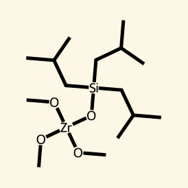 C[O][Zr]([O]C)([O]C)[O][Si](CC(C)C)(CC(C)C)CC(C)C